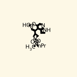 CCCN(C)S(=O)(=O)N1CC(C2=CB(O)Oc3cnc4[nH]ccc4c32)C1